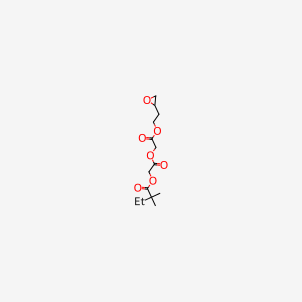 CCC(C)(C)C(=O)OCC(=O)OCC(=O)OCCC1CO1